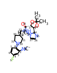 [C-]#[N+]c1cc(F)ccc1N1CCC(CNC(=O)[C@@H]2OC(C)(C)O[C@H]2c2nccn2C)CC1